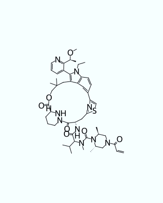 C=CC(=O)N1C[C@H](C)N(C(=O)N(C)C(C(=O)N[C@H]2Cc3nc(cs3)-c3ccc4c(c3)c(c(-c3cccnc3[C@H](C)OC)n4CC)CC(C)(C)COC(=O)[C@@H]3CCCN(N3)C2=O)C(C)C)[C@@H](C)C1